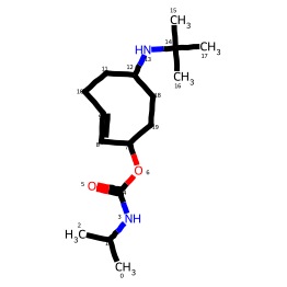 CC(C)NC(=O)OC1/C=C/CCC(NC(C)(C)C)CC1